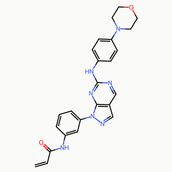 C=CC(=O)Nc1cccc(-n2ncc3cnc(Nc4ccc(N5CCOCC5)cc4)nc32)c1